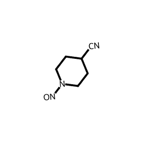 N#CC1CCN(N=O)CC1